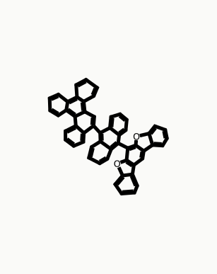 c1ccc2c(c1)oc1c(-c3c4ccccc4c(-c4cc5c6ccccc6c6ccccc6c5c5ccccc45)c4ccccc34)c3oc4ccccc4c3cc12